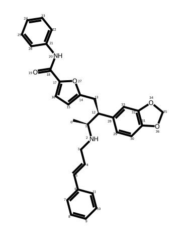 C[C@H](NC/C=C/c1ccccc1)[C@@H](Cc1ccc(C(=O)Nc2ccccc2)o1)c1ccc2c(c1)OCO2